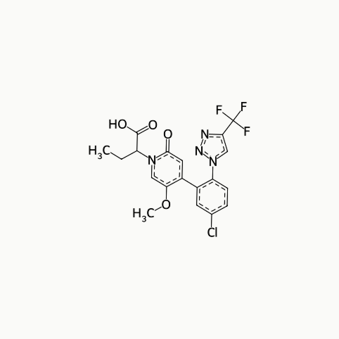 CCC(C(=O)O)n1cc(OC)c(-c2cc(Cl)ccc2-n2cc(C(F)(F)F)nn2)cc1=O